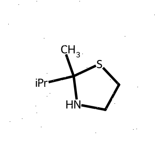 CC(C)C1(C)NCCS1